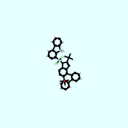 CC(C)(C)C1=Cc2c(ccc(C(C)(C)C)c2-c2ccccc2-c2ccccc2)[CH]1[Zr]([Cl])([Cl])[c]1cccc2c1[SiH2]c1ccccc1-2